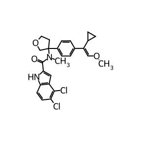 CO/C=C(/c1ccc(C2(N(C)C(=O)c3cc4c(Cl)c(Cl)ccc4[nH]3)CCOC2)cc1)C1CC1